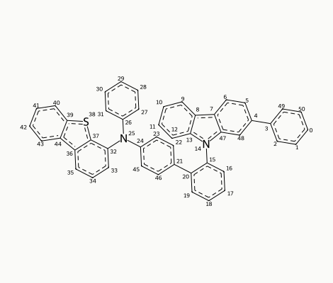 c1ccc(-c2ccc3c4ccccc4n(-c4ccccc4-c4ccc(N(c5ccccc5)c5cccc6c5sc5ccccc56)cc4)c3c2)cc1